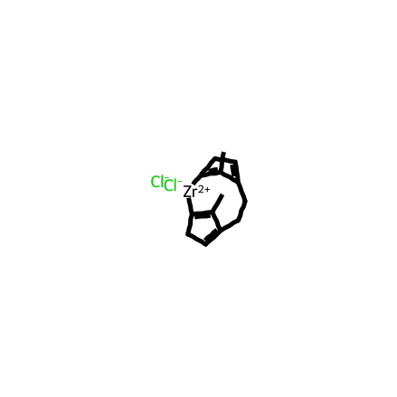 CC1=[C]2CC=C1CCC1=CC[C](=C1C)[Zr+2]2.[Cl-].[Cl-]